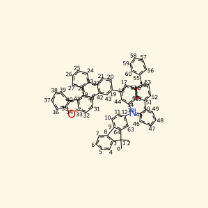 CC1(C)c2ccccc2-c2ccc(N(c3cccc(-c4ccc5c6ccccc6c6c(ccc7oc8ccccc8c76)c5c4)c3)c3ccccc3-c3ccc(-c4ccccc4)cc3)cc21